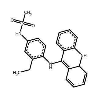 CCc1cc(NS(C)(=O)=O)ccc1NC1=C2C=CC=CC2Nc2ccccc21